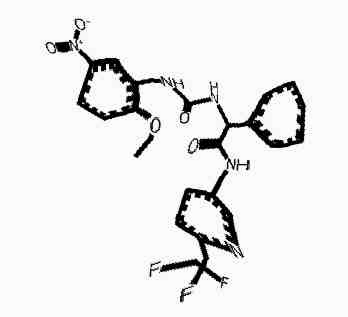 COc1ccc([N+](=O)[O-])cc1NC(=O)NC(C(=O)Nc1ccc(C(F)(F)F)nc1)c1ccccc1